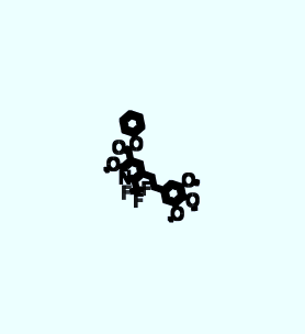 COc1cc(CCc2cc(C(=O)Oc3ccccc3)c(OC)nc2C(F)(F)F)cc(OC)c1OC